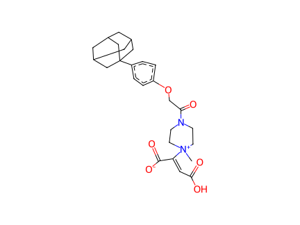 C[N+]1(/C(=C\C(=O)O)C(=O)[O-])CCN(C(=O)COc2ccc(C34CC5CC(CC(C5)C3)C4)cc2)CC1